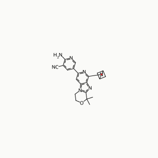 CC1(C)OCCn2c1nc1c(N3CC4CC3C4)nc(-c3cnc(N)c(C#N)c3)cc12